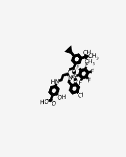 CC(C)(C)c1cc(CC[C@@H](CCNc2ccc(C(=O)O)c(O)c2)N(Cc2ccc(Cl)cc2)S(=O)(=O)c2c(F)c(F)c(F)c(F)c2F)cc(C2CC2)c1